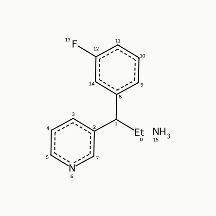 CCC(c1cccnc1)c1cccc(F)c1.N